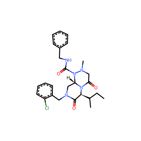 CCC(C)[C@H]1C(=O)N(Cc2ccccc2Cl)C[C@H]2N1C(=O)CN(C)N2C(=O)NCc1ccccc1